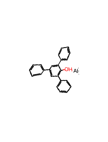 Oc1c(-c2ccccc2)cc(-c2ccccc2)cc1-c1ccccc1.[Al]